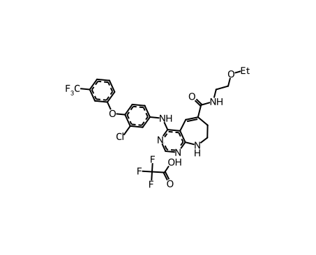 CCOCCNC(=O)C1=Cc2c(ncnc2Nc2ccc(Oc3cccc(C(F)(F)F)c3)c(Cl)c2)NCC1.O=C(O)C(F)(F)F